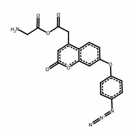 [N-]=[N+]=Nc1ccc(Oc2ccc3c(CC(=O)OC(=O)CN)cc(=O)oc3c2)cc1